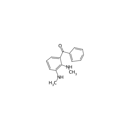 CNc1cccc(C(=O)c2ccccc2)c1NC